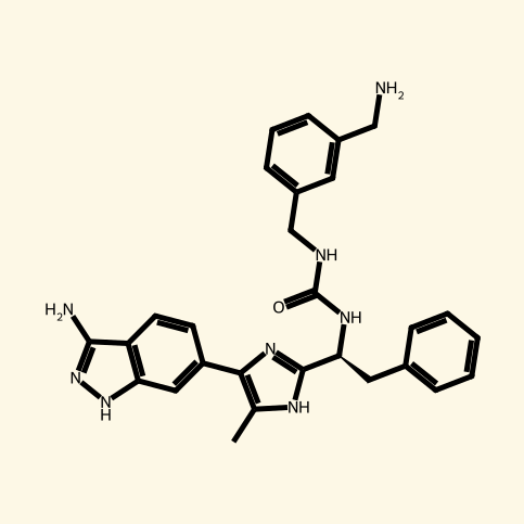 Cc1[nH]c([C@H](Cc2ccccc2)NC(=O)NCc2cccc(CN)c2)nc1-c1ccc2c(N)n[nH]c2c1